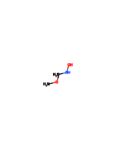 ON[SiH2]O[SiH3]